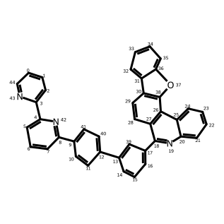 c1ccc(-c2cccc(-c3ccc(-c4cccc(-c5nc6ccccc6c6c5ccc5c7ccccc7oc56)c4)cc3)n2)nc1